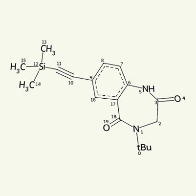 CC(C)(C)N1CC(=O)Nc2ccc(C#C[Si](C)(C)C)cc2C1=O